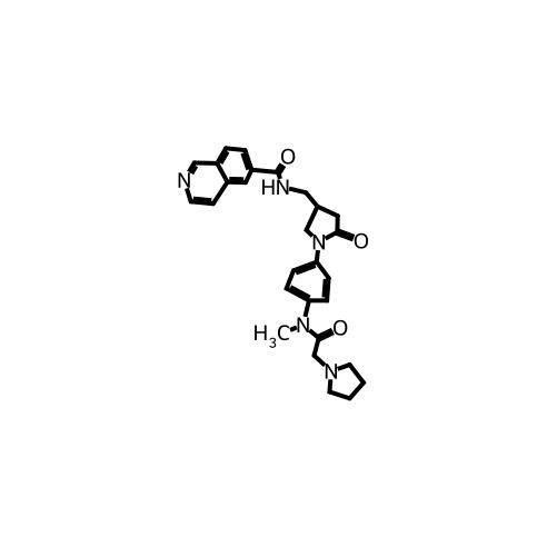 CN(C(=O)CN1CCCC1)c1ccc(N2CC(CNC(=O)c3ccc4cnccc4c3)CC2=O)cc1